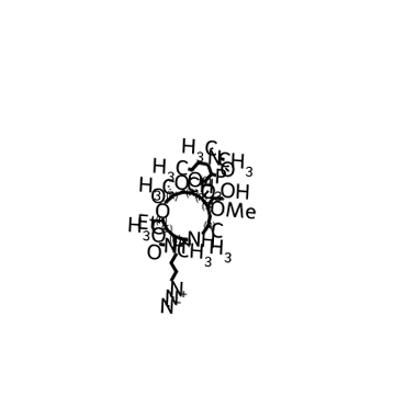 CC[C@H]1OC(=O)[C@H](C)C(=O)[C@H](C)[C@@H](O[C@@H]2OC(C)CC(N(C)C)C2P=O)[C@](CCO)(OC)C[C@@H](C)CN[C@H](C)[C@H]2N(CCCCN=[N+]=[N-])C(=O)O[C@]12C